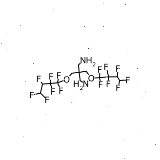 NCC(CN)(COC(F)(F)C(F)(F)C(F)C(F)F)COC(F)(F)C(F)(F)C(F)C(F)F